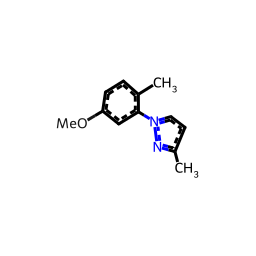 COc1ccc(C)c(-n2ccc(C)n2)c1